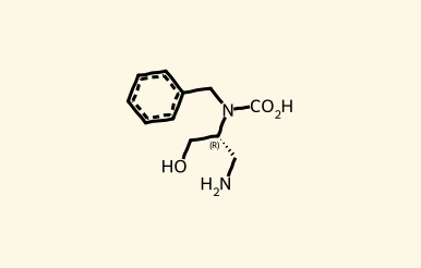 NC[C@H](CO)N(Cc1ccccc1)C(=O)O